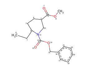 CCC1CCC(C(=O)OC)CN1C(=O)OCc1ccccc1